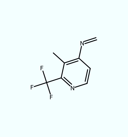 C=Nc1ccnc(C(F)(F)F)c1C